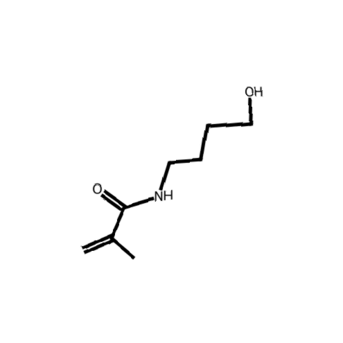 C=C(C)C(=O)NCCCCO